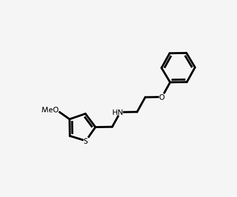 COc1csc(CNCCOc2ccccc2)c1